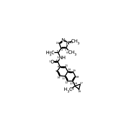 Cc1c(C(C)NC(=O)c2ccc3cc(C4(C)CC4)ccc3c2)cnn1C